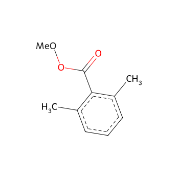 [CH2]OOC(=O)c1c(C)cccc1C